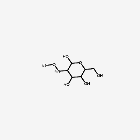 CCONC1C(O)OC(CO)C(O)C1O